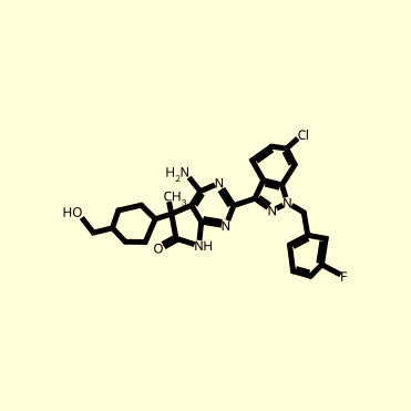 CC1(C2CCC(CO)CC2)C(=O)Nc2nc(-c3nn(Cc4cccc(F)c4)c4cc(Cl)ccc34)nc(N)c21